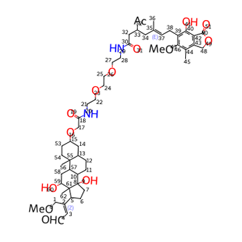 COC/C(=C\C=O)C1CCC2(O)C3CCC4CC(OCC(=O)NCCOCCOCCNC(=O)CC(C/C(C)=C/Cc5c(O)c6c(c(C)c5OC)COC6=O)C(C)=O)CCC4(C)C3CC(O)C12C